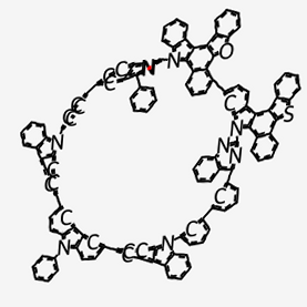 c1ccc(-c2nc3nc4ccc(cc24)-c2ccc(cc2)-n2c4ccccc4c4cc(ccc42)-c2ccc4c(c2)c2cc(ccc2n4-c2ccccc2)-c2ccc4c(c2)c2ccccc2n4-c2cccc(c2)-c2cccc(c2)-c2nc(nc4ccccc24)-n2c4cc(ccc4c4c5c6ccccc6sc5c5ccccc5c42)-c2cccc4c2c2oc5ccccc5c2c2c5ccccc5n-3c42)cc1